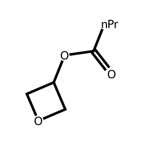 C[CH]CC(=O)OC1COC1